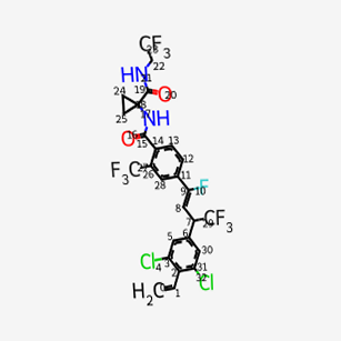 C=Cc1c(Cl)cc(C(/C=C(\F)c2ccc(C(=O)NC3(C(=O)NCC(F)(F)F)CC3)c(C(F)(F)F)c2)C(F)(F)F)cc1Cl